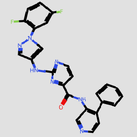 O=C(Nc1cnccc1-c1ccccc1)c1ccnc(Nc2cnn(-c3cc(F)ccc3F)c2)n1